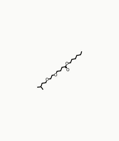 CCCCCCOC(=O)CCCOCCOCCC(C)C